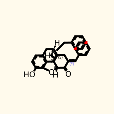 O=C1/C(=C/c2ccccc2)C[C@@]2(O)[C@H]3Cc4ccc(O)c5c4[C@@]2(CCN3Cc2ccccc2)[C@H]1O5